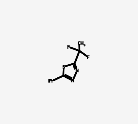 CC(C)c1nnc(C(C)(F)F)s1